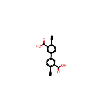 C#Cc1ccc(-c2ccc(C#C)c(C(=O)O)c2)cc1C(=O)O